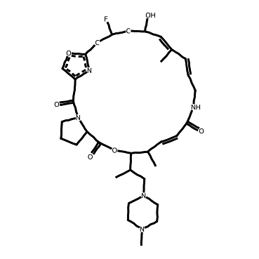 CC1=C\C(O)CC(F)Cc2nc(co2)C(=O)N2CCCC2C(=O)OC(C(C)CN2CCN(C)CC2)C(C)/C=C/C(=O)NC\C=C\1